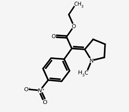 CCOC(=O)C(=C1CCCN1C)c1ccc([N+](=O)[O-])cc1